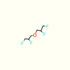 FCC(F)COCC(F)CF